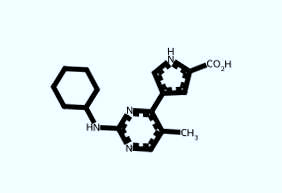 Cc1cnc(NC2CCCCC2)nc1-c1c[nH]c(C(=O)O)c1